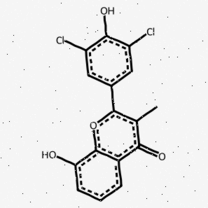 Cc1c(-c2cc(Cl)c(O)c(Cl)c2)oc2c(O)cccc2c1=O